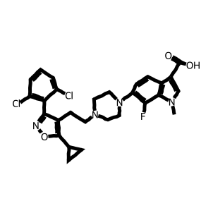 Cn1cc(C(=O)O)c2ccc(N3CCN(CCc4c(-c5c(Cl)cccc5Cl)noc4C4CC4)CC3)c(F)c21